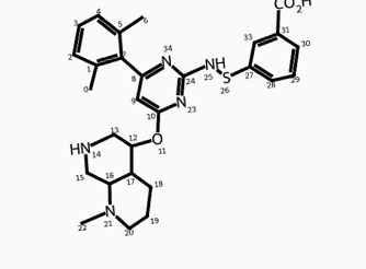 Cc1cccc(C)c1-c1cc(OC2CNCC3C2CCCN3C)nc(NSc2cccc(C(=O)O)c2)n1